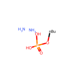 CCCCOP(=O)(O)O.N.N